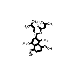 COc1cc([C@H](CC=C(C)C)OC(=O)C=C(C)C)c(OC)c2c1C(=NO)C=CC2=NO